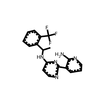 CC(Nc1ccnc(-c2cccnc2N)n1)c1ccccc1C(F)(F)F